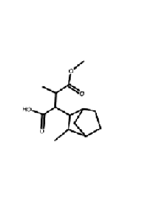 COC(=O)C(C)C(C(=O)O)C1C2CCC(C2)C1C